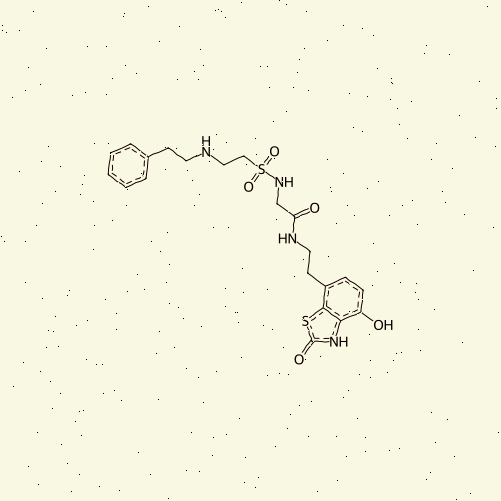 O=C(CNS(=O)(=O)CCNCCc1ccccc1)NCCc1ccc(O)c2[nH]c(=O)sc12